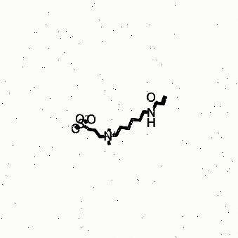 C=CC(=O)NCCCCCC[N+](C)(C)CCCS(=O)(=O)[O-]